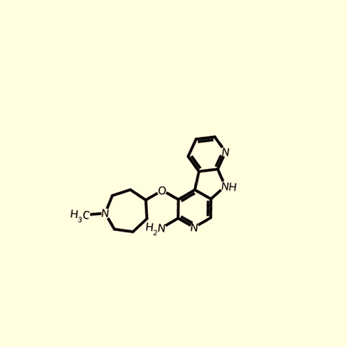 CN1CCCC(Oc2c(N)ncc3[nH]c4ncccc4c23)CC1